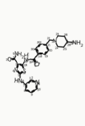 NC(=O)c1nc(Nc2cccnc2)sc1NC(=O)c1ccc(CN2CCC(N)CC2)cc1